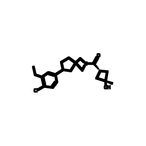 CCc1cc(C2CCC3(C2)CN(C(=O)[C@H]2C[C@@](C)(O)C2)C3)ccc1Cl